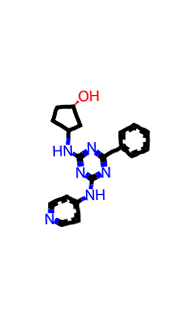 O[C@H]1CCC(Nc2nc(Nc3ccncc3)nc(-c3ccccc3)n2)C1